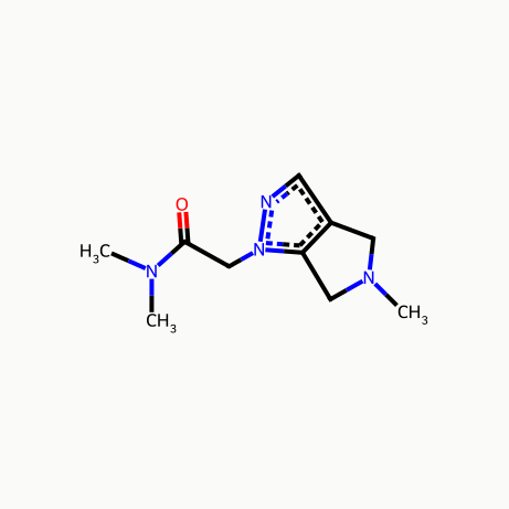 CN1Cc2cnn(CC(=O)N(C)C)c2C1